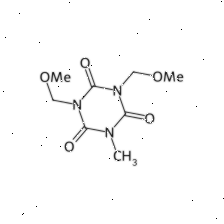 COCn1c(=O)n(C)c(=O)n(COC)c1=O